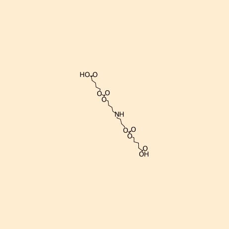 O=C(O)CCCCOC(=O)OCCCCNCCCCOC(=O)OCCCCC(=O)O